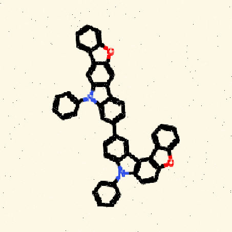 c1ccc(-n2c3cc(-c4ccc5c(c4)c4c6c(ccc4n5-c4ccccc4)oc4ccccc46)ccc3c3cc4oc5ccccc5c4cc32)cc1